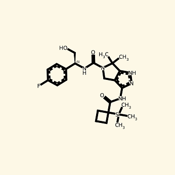 CC1(C)c2[nH]nc(NC(=O)C3([Si](C)(C)C)CCC3)c2CN1C(=O)N[C@H](CO)c1ccc(F)cc1